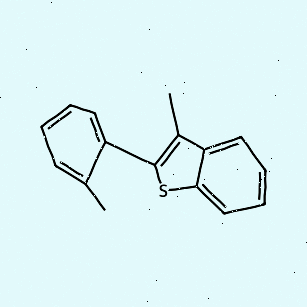 Cc1ccccc1-c1sc2ccccc2c1C